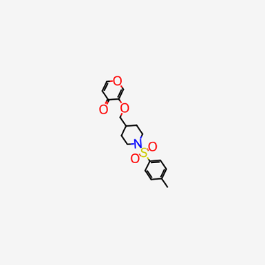 Cc1ccc(S(=O)(=O)N2CCC(COc3coccc3=O)CC2)cc1